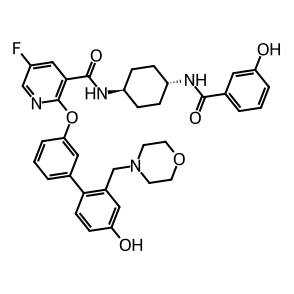 O=C(N[C@H]1CC[C@H](NC(=O)c2cc(F)cnc2Oc2cccc(-c3ccc(O)cc3CN3CCOCC3)c2)CC1)c1cccc(O)c1